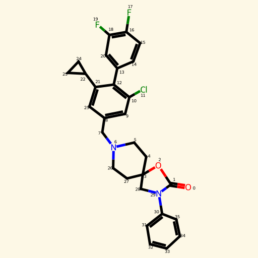 O=C1OC2(CCN(Cc3cc(Cl)c(-c4ccc(F)c(F)c4)c(C4CC4)c3)CC2)CN1c1ccccc1